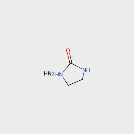 O=C1NCCN1.[NaH]